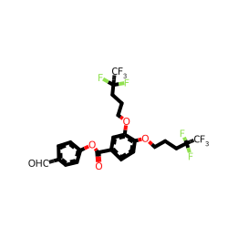 O=Cc1ccc(OC(=O)c2ccc(OCCCC(F)(F)C(F)(F)F)c(OCCCC(F)(F)C(F)(F)F)c2)cc1